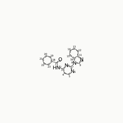 O=C(Nc1ccnc(-n2cnc3ccccc32)n1)c1ccccc1